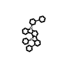 c1ccc(-c2cccc(-n3c4ccccc4c4c3ccc3c5cccc(-c6ccccc6)c5n(-c5ccccc5)c34)c2)cc1